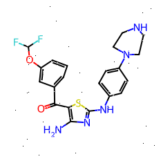 Nc1nc(Nc2ccc(N3CCNCC3)cc2)sc1C(=O)c1cccc(OC(F)F)c1